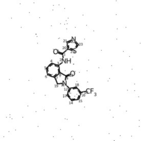 O=C(Nc1cccc2c1C(=O)N(c1cccc(C(F)(F)F)c1)C2)c1cncs1